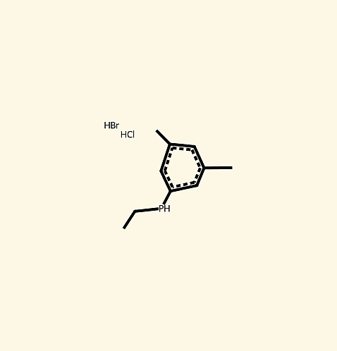 Br.CCPc1cc(C)cc(C)c1.Cl